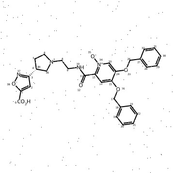 O=C(O)c1cc([C@@H]2CCN(CCNC(=O)c3cc(OCc4ccccc4)c(OCc4ccccc4)c[n+]3[O-])C2)no1